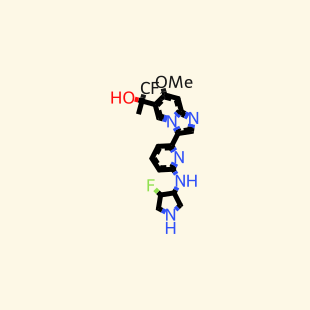 COc1cc2ncc(-c3cccc(NC4CNCC4F)n3)n2cc1C(C)(O)C(F)(F)F